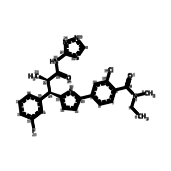 CCN(C)C(=O)c1ccc(-c2ccc([C@@H](c3cccc(F)c3)[C@@H](C)C(=O)Nc3nncs3)s2)cc1Cl